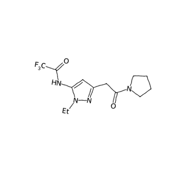 CCn1nc(CC(=O)N2CCCC2)cc1NC(=O)C(F)(F)F